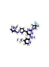 Cn1nccc1CN1CCC(c2cc(Nc3cc(C(F)(F)F)ccn3)nc(N3CC(F)(F)C3)n2)C1